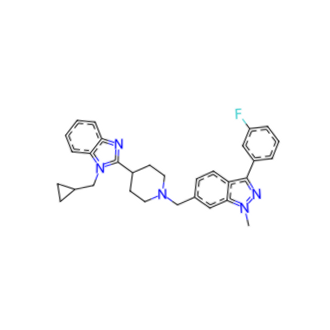 Cn1nc(-c2cccc(F)c2)c2ccc(CN3CCC(c4nc5ccccc5n4CC4CC4)CC3)cc21